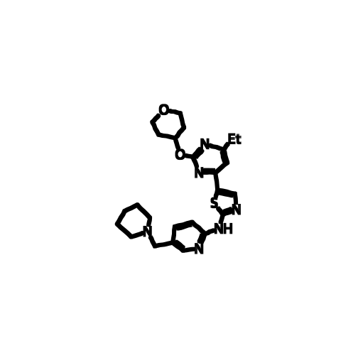 CCc1cc(-c2cnc(Nc3ccc(CN4CCCCC4)cn3)s2)nc(OC2CCOCC2)n1